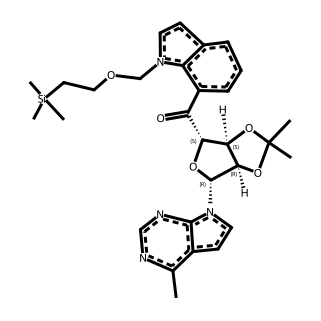 Cc1ncnc2c1ccn2[C@@H]1O[C@H](C(=O)c2cccc3ccn(COCC[Si](C)(C)C)c23)[C@H]2OC(C)(C)O[C@H]21